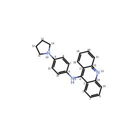 c1ccc2c(Nc3ccc(N4CCCC4)cc3)c3ccccc3nc2c1